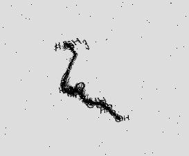 CC(C)(C)OC(=O)CCCCCCCCCCCCCCCOc1ccc(S(=O)(=O)Nc2cnc(C(=O)NCCCCCC(=O)NCCOCCOCC(=O)NCCOCCOCC(=O)O)nc2)cc1